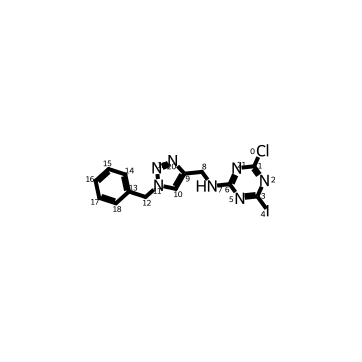 Clc1nc(I)nc(NCc2cn(Cc3ccccc3)nn2)n1